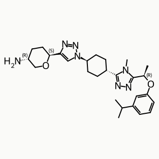 CC(C)c1cccc(O[C@H](C)c2nnc([C@H]3CC[C@H](n4cc([C@@H]5CC[C@@H](N)CO5)nn4)CC3)n2C)c1